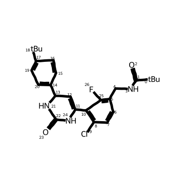 CC(C)(C)C(=O)NCc1ccc(Cl)c(C2=CC(c3ccc(C(C)(C)C)cc3)NC(=O)N2)c1F